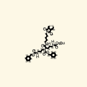 C=C1C(=O)N(CCCCCNC(=O)C(CCCNC(=O)OC(C)(C)C)N(CCCNC(=O)OCc2ccccc2)C(=O)OCc2ccccc2)C(=O)/C1=C/C